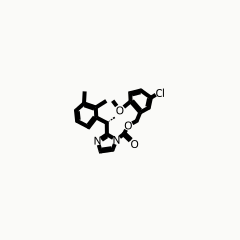 COc1ccc(Cl)cc1COC(=O)n1ccnc1[C@@H](C)c1cccc(C)c1C